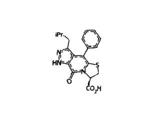 CC(C)Cc1n[nH]c2c(=O)n3c(c(-c4ccccc4)c12)SC[C@H]3C(=O)O